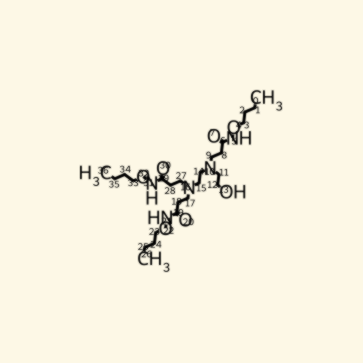 CCCCONC(=O)CCN(CCO)CCN(CCC(=O)NOCCCC)CCC(=O)NOCCCC